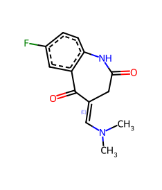 CN(C)/C=C1\CC(=O)Nc2ccc(F)cc2C1=O